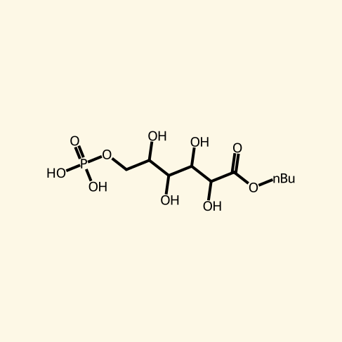 CCCCOC(=O)C(O)C(O)C(O)C(O)COP(=O)(O)O